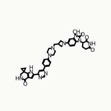 Cn1c(=O)n(C2CCC(=O)NC2=O)c2ccc(N3CC(CN4CCN(c5ccc(-c6cc(-c7cc8c([nH]7)C7(CC7)CNC8=O)ncn6)cc5)CC4)C3)cc21